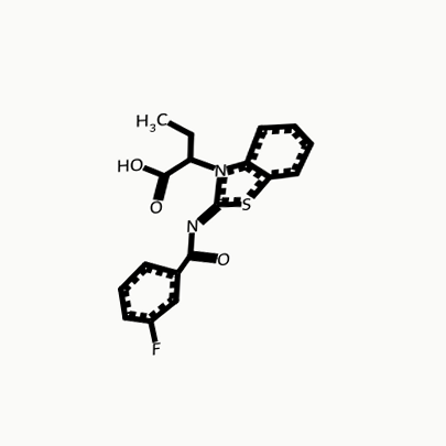 CCC(C(=O)O)n1/c(=N/C(=O)c2cccc(F)c2)sc2ccccc21